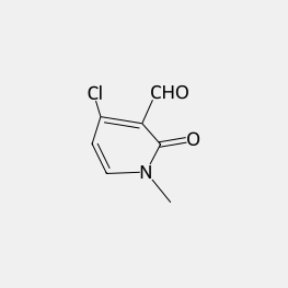 Cn1ccc(Cl)c(C=O)c1=O